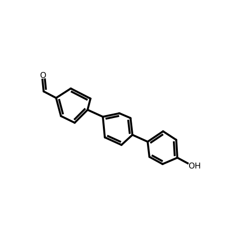 O=Cc1ccc(-c2ccc(-c3ccc(O)cc3)cc2)cc1